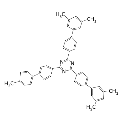 Cc1ccc(-c2ccc(-c3nc(-c4ccc(-c5cc(C)cc(C)c5)cc4)nc(-c4ccc(-c5cc(C)cc(C)c5)cc4)n3)cc2)cc1